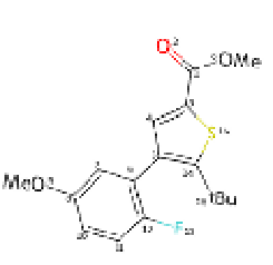 COC(=O)c1cc(-c2cc(OC)ccc2F)c(C(C)(C)C)s1